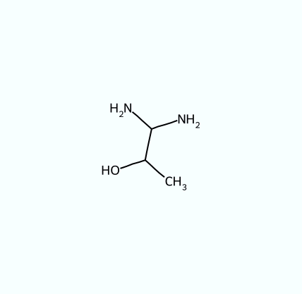 CC(O)C(N)N